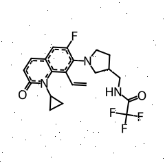 C=Cc1c(N2CCC(CNC(=O)C(F)(F)F)C2)c(F)cc2ccc(=O)n(C3CC3)c12